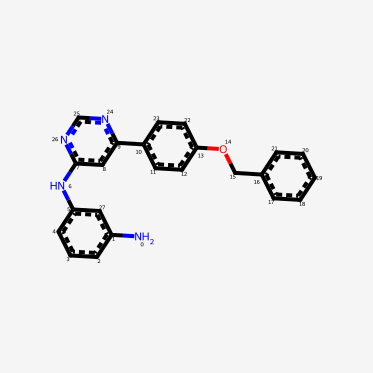 Nc1cccc(Nc2cc(-c3ccc(OCc4ccccc4)cc3)ncn2)c1